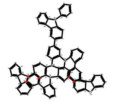 c1ccc(-c2ccccc2N2c3cc(-c4ccc5c(c4)c4ccccc4n5-c4ccccc4)ccc3B3c4ccc(-n5c6ccccc6c6ccccc65)cc4N(c4ccccc4-c4ccccc4)c4cc(-c5ccc6oc7ccccc7c6c5)cc2c43)cc1